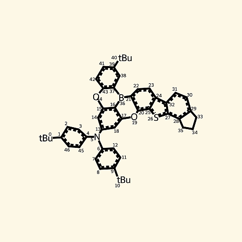 CC(C)(C)c1ccc(N(c2ccc(C(C)(C)C)cc2)c2cc3c4c(c2)Oc2c(ccc5c2sc2c6c(ccc25)CCC6)B4c2cc(C(C)(C)C)ccc2O3)cc1